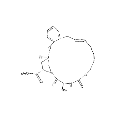 CCCC[C@@H]1NC(=O)OCCCC/C=C/Cc2ccccc2O[C@@H]2C[C@@H](C(=O)OC)N(C2)C1=O